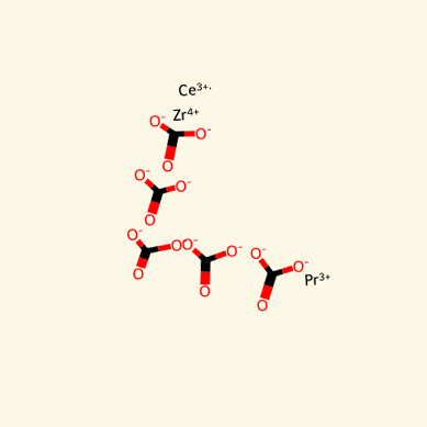 O=C([O-])[O-].O=C([O-])[O-].O=C([O-])[O-].O=C([O-])[O-].O=C([O-])[O-].[Ce+3].[Pr+3].[Zr+4]